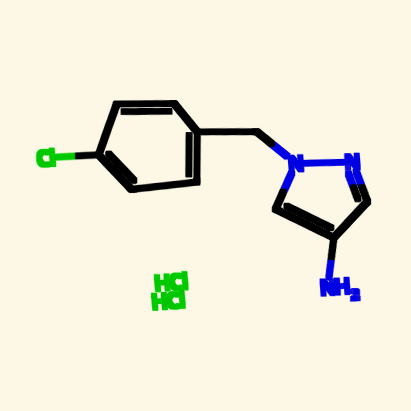 Cl.Cl.Nc1cnn(Cc2ccc(Cl)cc2)c1